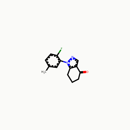 Cc1ccc(F)c(-n2ncc3c2CCCC3=O)c1